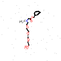 CN(CCOCCOCCOCCO)CC(=O)OCc1ccccc1